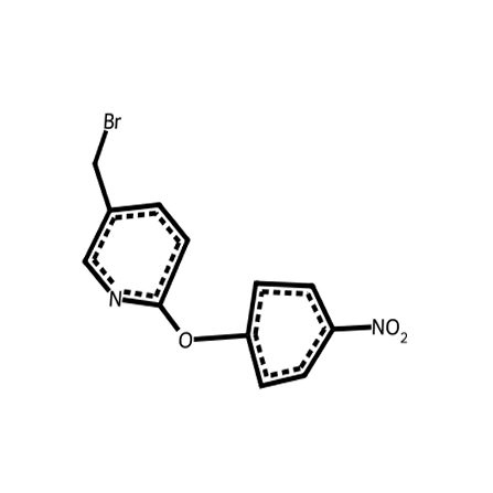 O=[N+]([O-])c1ccc(Oc2ccc(CBr)cn2)cc1